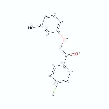 N#Cc1cccc(OCC(=O)c2ccc(F)cc2)c1